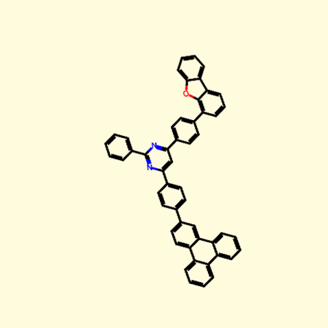 c1ccc(-c2nc(-c3ccc(-c4ccc5c6ccccc6c6ccccc6c5c4)cc3)cc(-c3ccc(-c4cccc5c4oc4ccccc45)cc3)n2)cc1